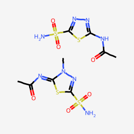 CC(=O)/N=c1\sc(S(N)(=O)=O)nn1C.CC(=O)Nc1nnc(S(N)(=O)=O)s1